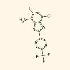 Nc1c(I)cc(Cl)c2oc(-c3ccc(C(F)(F)F)cc3)nc12